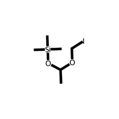 CC(OCI)O[Si](C)(C)C